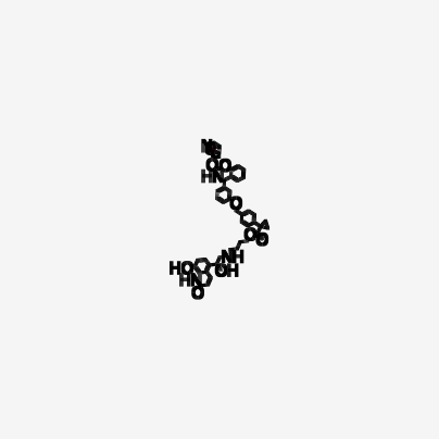 O=C(NC(c1ccccc1)c1cccc(OCc2ccc(C3(C(=O)OCCCCNCC(O)c4ccc(O)c5[nH]c(=O)ccc45)CC3)cc2)c1)OC1CN2CCC1CC2